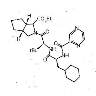 CCOC(=O)C1[C@H]2CCC[C@H]2CN1C(=O)[C@@H](NC(=O)[C@H](CC1CCCCC1)NC(=O)c1cnccn1)C(C)(C)C